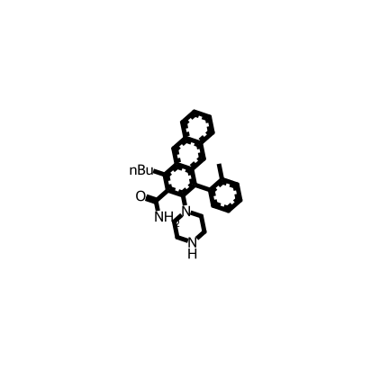 CCCCc1c(C(N)=O)c(N2CCNCC2)c(-c2ccccc2C)c2cc3ccccc3cc12